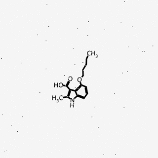 CCCCCOc1cccc2[nH]c(C)c(C(=O)O)c12